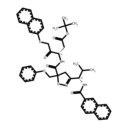 CC(C)[C@H](NC(=O)c1ccc2ccccc2c1)C1=NOC(COc2ccccc2)(C(=O)N[C@@H](CC(=O)OC(C)(C)C)C(=O)COc2ccc3ccccc3c2)C1